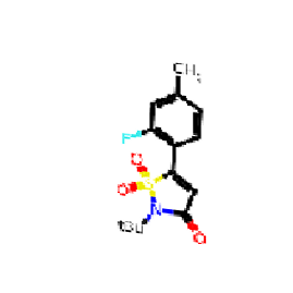 Cc1ccc(C2=CC(=O)N(C(C)(C)C)S2(=O)=O)c(F)c1